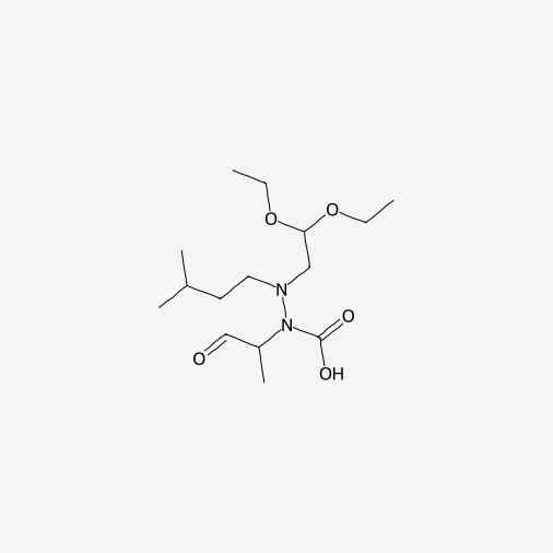 CCOC(CN(CCC(C)C)N(C(=O)O)C(C)C=O)OCC